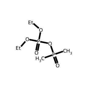 CCOP(=O)(OCC)OP(C)(C)=O